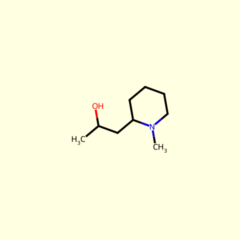 CC(O)CC1CCCCN1C